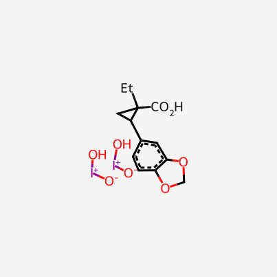 CCC1(C(=O)O)CC1c1ccc2c(c1)OCO2.[O-][I+]O.[O-][I+]O